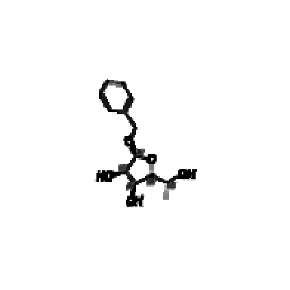 C[C@@H](O)[C@H]1O[C@H](OCc2ccccc2)[C@H](O)[C@@H]1O